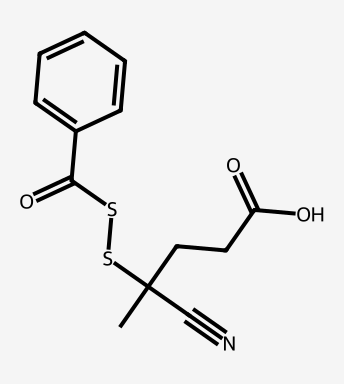 CC(C#N)(CCC(=O)O)SSC(=O)c1ccccc1